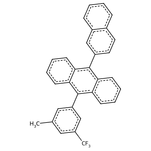 Cc1cc(-c2c3ccccc3c(-c3ccc4ccccc4c3)c3ccccc23)cc(C(F)(F)F)c1